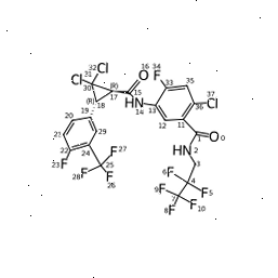 O=C(NCC(F)(F)C(F)(F)F)c1cc(NC(=O)[C@H]2[C@H](c3ccc(F)c(C(F)(F)F)c3)C2(Cl)Cl)c(F)cc1Cl